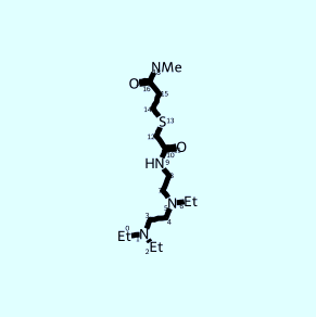 CCN(CC)CCN(CC)CCNC(=O)CSCCC(=O)NC